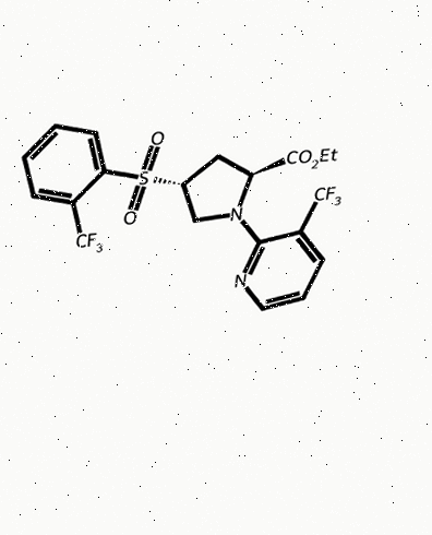 CCOC(=O)[C@@H]1C[C@@H](S(=O)(=O)c2ccccc2C(F)(F)F)CN1c1ncccc1C(F)(F)F